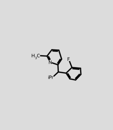 Cc1cccc(C(c2ccccc2F)C(C)C)n1